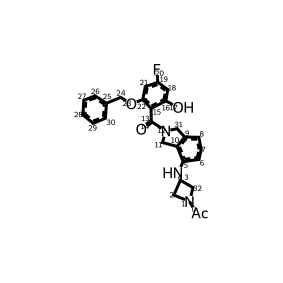 CC(=O)N1CC(Nc2cccc3c2CN(C(=O)c2c(O)cc(F)cc2OCc2ccccc2)C3)C1